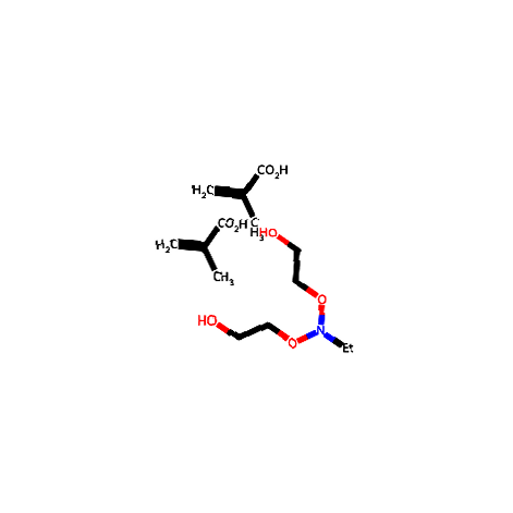 C=C(C)C(=O)O.C=C(C)C(=O)O.CCN(OCCO)OCCO